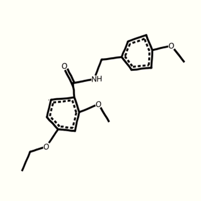 CCOc1c[c]c(C(=O)NCc2ccc(OC)cc2)c(OC)c1